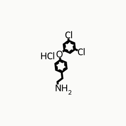 Cl.NCCc1ccc(Oc2cc(Cl)cc(Cl)c2)cc1